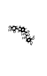 COc1ccc(NC(=O)NC(=O)c2ccc3c(c2)CN(C2CCC(=O)NC2=O)C3)cc1OC